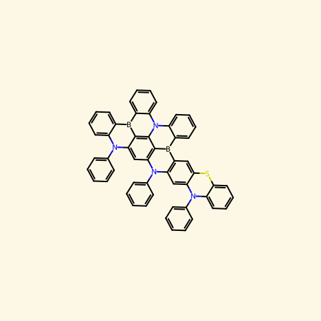 c1ccc(N2c3ccccc3Sc3cc4c(cc32)N(c2ccccc2)c2cc3c5c6c2B4c2ccccc2N6c2ccccc2B5c2ccccc2N3c2ccccc2)cc1